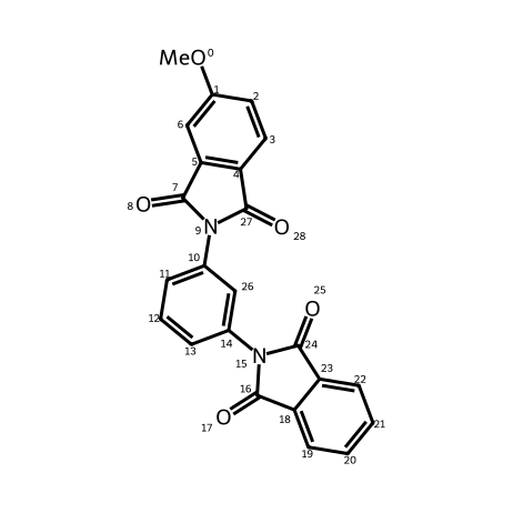 COc1ccc2c(c1)C(=O)N(c1cccc(N3C(=O)c4ccccc4C3=O)c1)C2=O